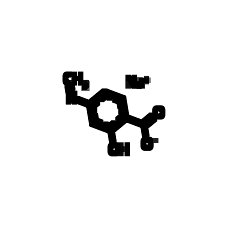 C=Nc1ccc(C(=O)[O-])c(O)c1.[Na+]